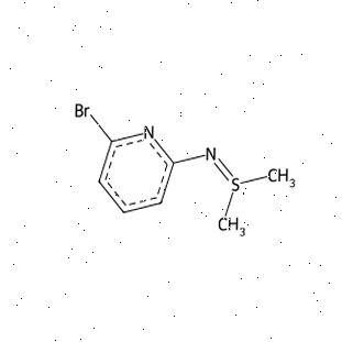 CS(C)=Nc1cccc(Br)n1